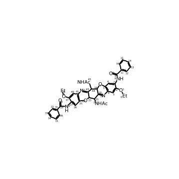 CCOc1cc2c(cc1NC(=O)c1ccccc1)OC1C(=N2)C(NC(C)=O)C2Oc3cc(NC(=O)c4ccccc4)c(OCC)cc3N=C2C1NC(C)=O